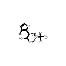 CC(C)[C@H](N[S@+]([O-])C(C)(C)C)c1sccc1Cl